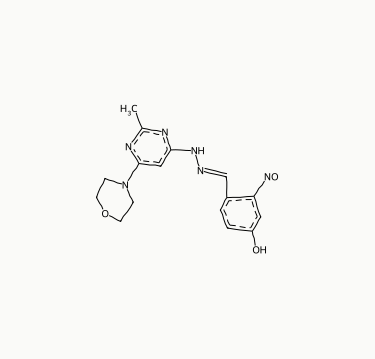 Cc1nc(N/N=C/c2ccc(O)cc2N=O)cc(N2CCOCC2)n1